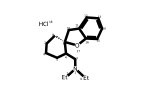 CCN(CC)CC1CCCC[C@@]12Cc1ccccc1O2.Cl